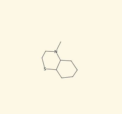 CN1CCSC2CCCCC21